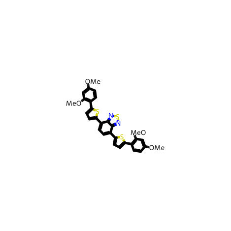 COc1ccc(-c2ccc(-c3ccc(-c4ccc(-c5ccc(OC)cc5OC)s4)c4nsnc34)s2)c(OC)c1